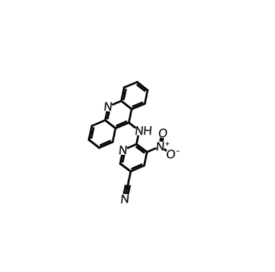 N#Cc1cnc(Nc2c3ccccc3nc3ccccc23)c([N+](=O)[O-])c1